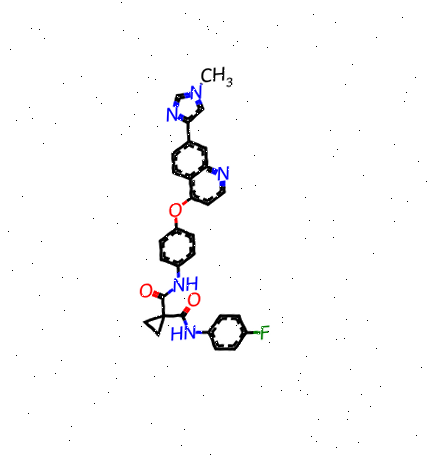 Cn1cnc(-c2ccc3c(Oc4ccc(NC(=O)C5(C(=O)Nc6ccc(F)cc6)CC5)cc4)ccnc3c2)c1